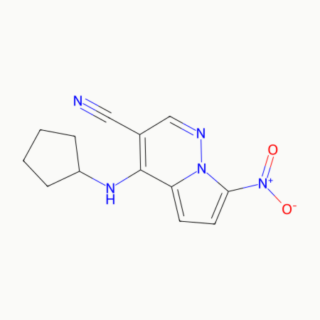 N#Cc1cnn2c([N+](=O)[O-])ccc2c1NC1CCCC1